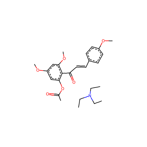 CCN(CC)CC.COc1ccc(C=CC(=O)c2c(OC)cc(OC)cc2OC(C)=O)cc1